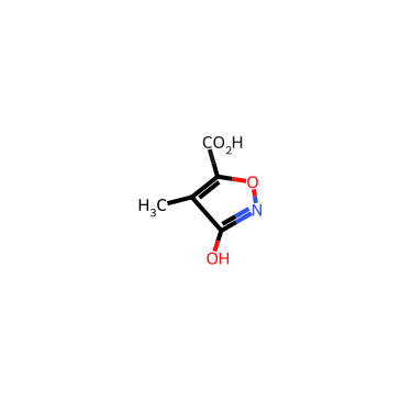 Cc1c(O)noc1C(=O)O